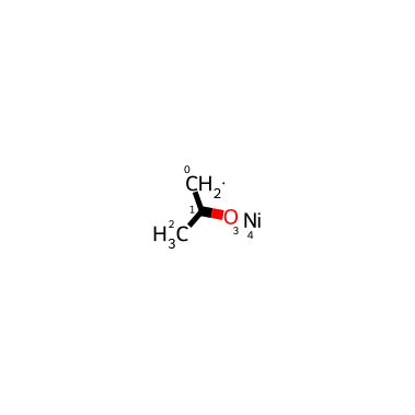 [CH2]C(C)=O.[Ni]